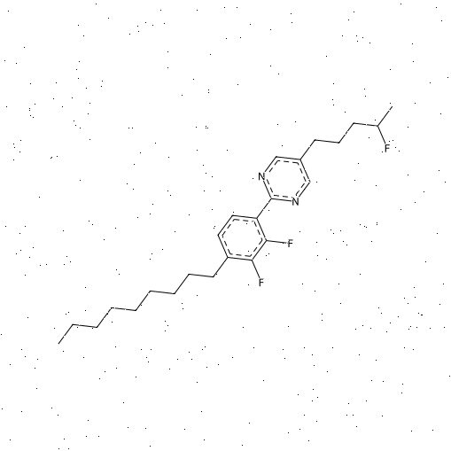 CCCCCCCCCc1ccc(-c2ncc(CCCC(C)F)cn2)c(F)c1F